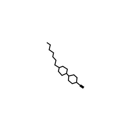 C#CC1CCC(C2CCC(CCCCCCC)CC2)CC1